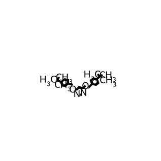 CC(C)(C)c1ccc(COc2cc(OCc3ccc(C(C)(C)C)cc3)ncn2)cc1